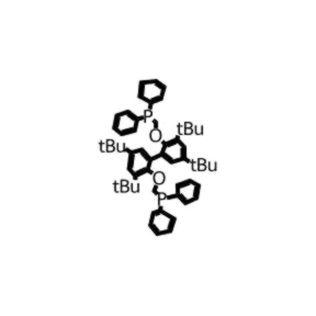 CC(C)(C)c1cc(-c2cc(C(C)(C)C)cc(C(C)(C)C)c2OCP(c2ccccc2)c2ccccc2)c(OCP(c2ccccc2)c2ccccc2)c(C(C)(C)C)c1